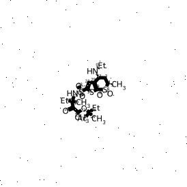 CCN[C@H]1C[C@H](C)S(=O)(=O)c2sc(S(=O)(=O)NC(C)(CC)C(=O)[C@@H](C)OC(C)(CC)C(C)=O)cc21